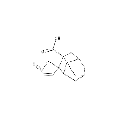 C=CC1(CC=O)C2CC3CC(C2)CC1(C(=O)O)C3